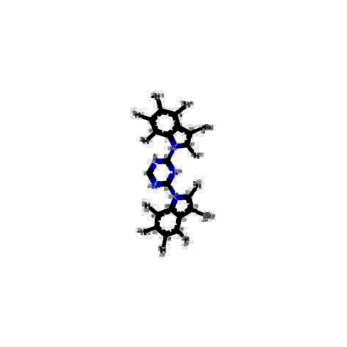 [2H]c1c([2H])c([2H])c2c(c1[2H])c(C(C)(C)C)c([2H])n2-c1ncnc(-n2c([2H])c(C(C)(C)C)c3c([2H])c([2H])c([2H])c([2H])c32)n1